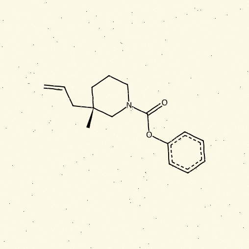 C=CC[C@]1(C)CCCN(C(=O)Oc2ccccc2)C1